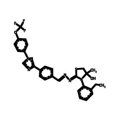 CCc1ccccc1N1/C(=N/N=C/c2ccc(-c3ncn(-c4ccc(OC(F)(F)F)cc4)n3)cc2)SCC1(C)O